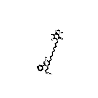 CCCCCCCCCCCCN(CC(O)CCCCCCCCCn1c(=O)c2c(ncn2C)n(C)c1=O)C(=O)c1ccccc1